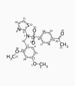 COc1ccc(CN(c2nccs2)S(=O)(=O)c2ccc(C(C)=O)cc2)c(OC)c1